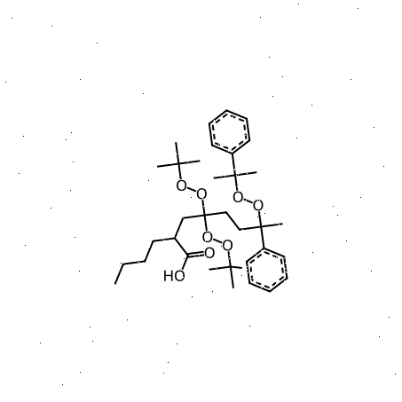 CCCCC(CC(CCC(C)(OOC(C)(C)c1ccccc1)c1ccccc1)(OOC(C)(C)C)OOC(C)(C)C)C(=O)O